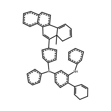 CC12CC=CC=C1c1ccc3ccccc3c1C=C2c1ccc(N(c2ccccc2)c2ccc(C3=CCCC=C3)c(Nc3ccccc3)c2)cc1